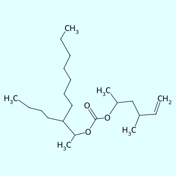 C=CC(C)CC(C)OC(=O)OC(C)C(CCCC)CCCCCCC